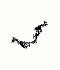 O=[PH](OCCCNCc1ccc(-c2noc(CCCCc3ccccc3)n2)c(-c2ccco2)c1)OCCCNCc1ccc(-c2noc(CCCCc3ccccc3)n2)c(-c2ccco2)c1